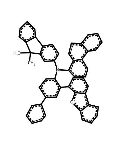 CC1(C)c2ccccc2-c2ccc(N(c3ccc(-c4ccccc4)cc3-c3cccc4c3oc3ccccc34)c3cccc4c3ccc3ccccc34)cc21